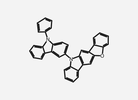 c1ccc(-n2c3ccccc3c3cc(-n4c5ccccc5c5cc6oc7ccccc7c6cc54)ccc32)cc1